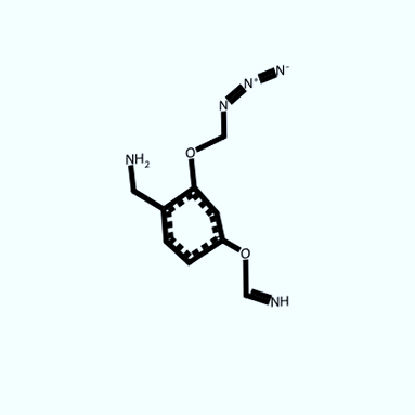 [N-]=[N+]=NCOc1cc(OC=N)ccc1CN